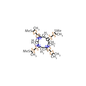 CSC1=C(C)S/C(=C2\SC3=C4CC(=C3S2)C(C)(C)c2[nH]c(c3c2S/C(=C2\SC(C)=C(SC)S2)S3)C(C)(C)c2[nH]c(c3c2S/C(=C2/SC(C)=C(SC)S2)S3)C(C)(C)c2[nH]c(c3c2SC(=C2SC(C)=C(C)S2)S3)C4(C)C)S1